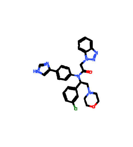 O=C(Cn1nnc2ccccc21)N(c1ccc(-c2c[nH]cn2)cc1)C(CN1CCOCC1)c1cccc(Cl)c1